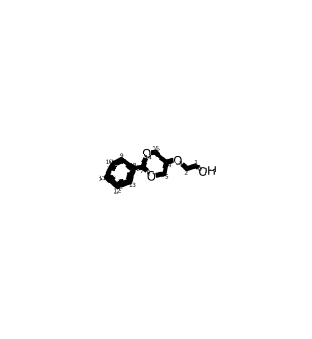 OCCOC1COC(c2ccccc2)OC1